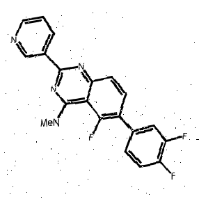 CNc1nc(-c2cccnc2)nc2ccc(-c3ccc(F)c(F)c3)c(F)c12